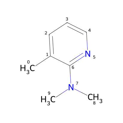 Cc1cccnc1N(C)C